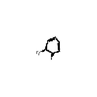 FC(F)(F)C1C=CC=[C]C1=S